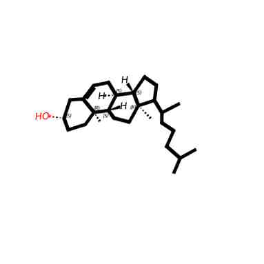 CC(C)CCCC(C)C1CC[C@H]2[C@@H]3CC=C4C[C@@H](O)CC[C@]4(C)[C@H]3CC[C@]12C